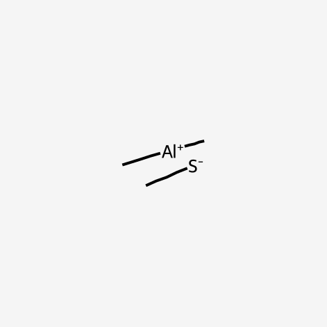 C[S-].[CH3][Al+][CH3]